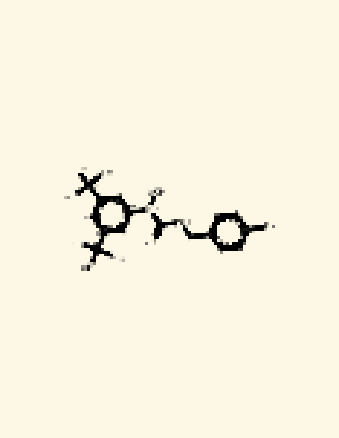 O=C(NCc1ccc(F)cc1)N(S)c1cc(C(F)(F)F)cc(C(F)(F)F)c1